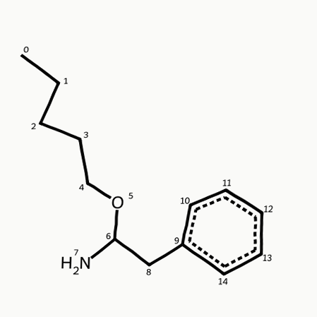 CCCCCOC(N)Cc1ccccc1